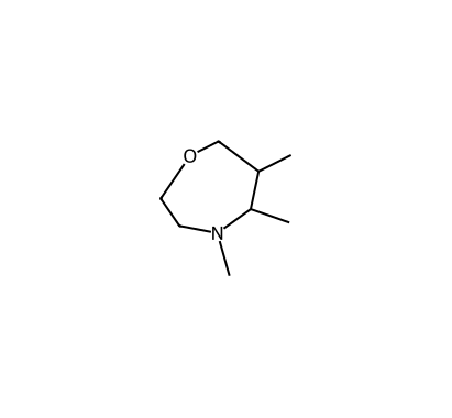 CC1COCCN(C)C1C